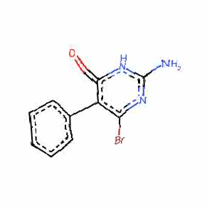 Nc1nc(Br)c(-c2ccccc2)c(=O)[nH]1